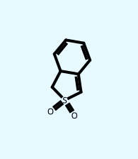 O=S1(=O)C=C2C=CC=CC2C1